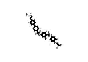 CCCc1ccc(C2CCC(C(F)(F)Oc3cc(F)c(C(F)(F)Oc4cc(F)c(OC=C(F)F)c(F)c4)c(F)c3)CC2)cc1